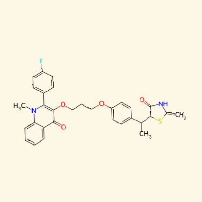 C=C1NC(=O)C(C(C)c2ccc(OCCCOc3c(-c4ccc(F)cc4)n(C)c4ccccc4c3=O)cc2)S1